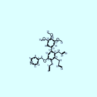 C=CCc1c(OCc2ccncc2)[c]c(-c2cc(OC)c(OC)c(OC)c2)c(CC=C)c1CC=C